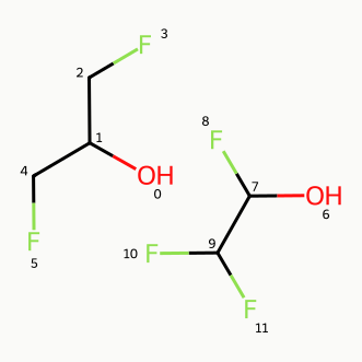 OC(CF)CF.OC(F)C(F)F